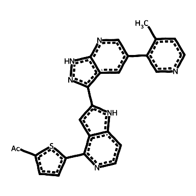 CC(=O)c1ccc(-c2nccc3[nH]c(-c4n[nH]c5ncc(-c6cnccc6C)cc45)cc23)s1